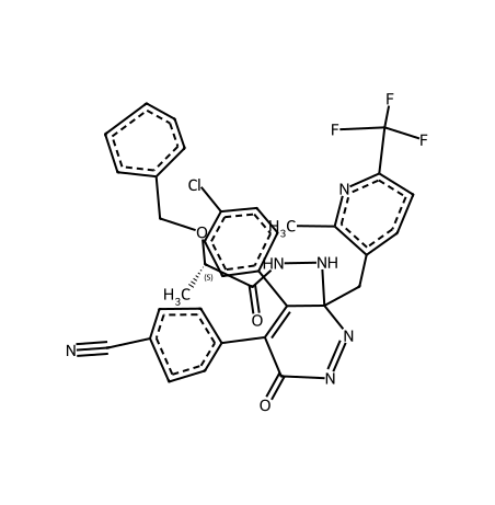 Cc1nc(C(F)(F)F)ccc1CC1(NNC(=O)[C@H](C)OCc2ccccc2)N=NC(=O)C(c2ccc(C#N)cc2)=C1c1ccc(Cl)cc1